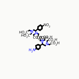 Nc1ccc(C(CN(CC(=O)O)CC(=O)O)N(CC(=O)O)CC(=O)O)cc1.O=C(O)CN(CC(=O)O)CC(c1ccc([N+](=O)[O-])cc1)N(CC(=O)O)CC(=O)O